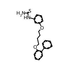 NC(=S)Nc1cccc(OCCCCOc2ccccc2-c2ccccc2)c1